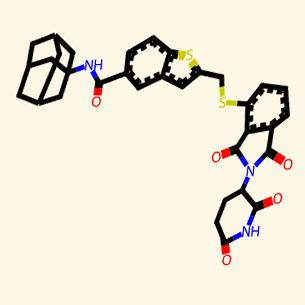 O=C1CCC(N2C(=O)c3cccc(SCc4cc5cc(C(=O)NC67CC8CC(CC(C8)C6)C7)ccc5s4)c3C2=O)C(=O)N1